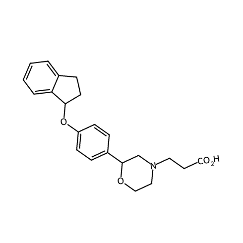 O=C(O)CCN1CCOC(c2ccc(OC3CCc4ccccc43)cc2)C1